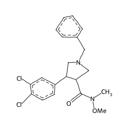 CON(C)C(=O)C1CN(Cc2ccccc2)CC1c1ccc(Cl)c(Cl)c1